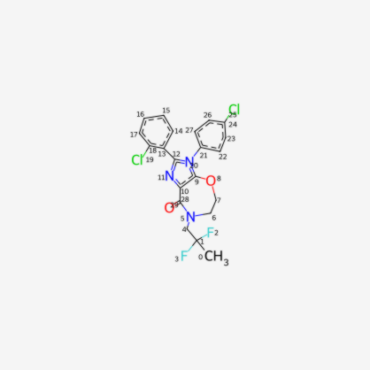 CC(F)(F)CN1CCOc2c(nc(-c3ccccc3Cl)n2-c2ccc(Cl)cc2)C1=O